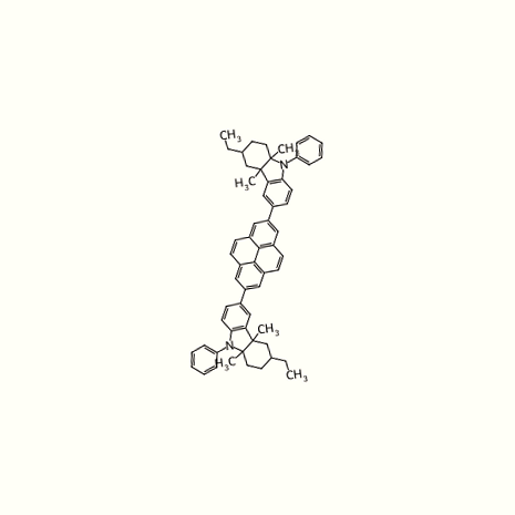 CCC1CCC2(C)N(c3ccccc3)c3ccc(-c4cc5ccc6cc(-c7ccc8c(c7)C7(C)CC(CC)CCC7(C)N8c7ccccc7)cc7ccc(c4)c5c67)cc3C2(C)C1